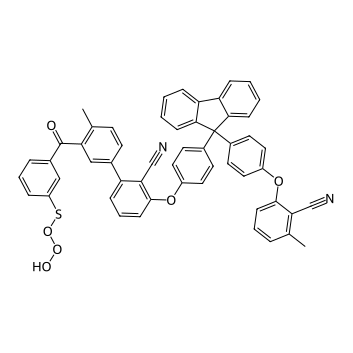 Cc1ccc(-c2cccc(Oc3ccc(C4(c5ccc(Oc6cccc(C)c6C#N)cc5)c5ccccc5-c5ccccc54)cc3)c2C#N)cc1C(=O)c1cccc(SOOO)c1